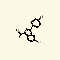 Cc1ccc2c(C(=O)Cl)oc(-c3ccc(Cl)cc3)c2c1